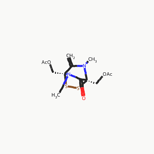 C=C1N(C)[C@@]2(COC(C)=O)SS[C@]1(COC(C)=O)N(C)C2=O